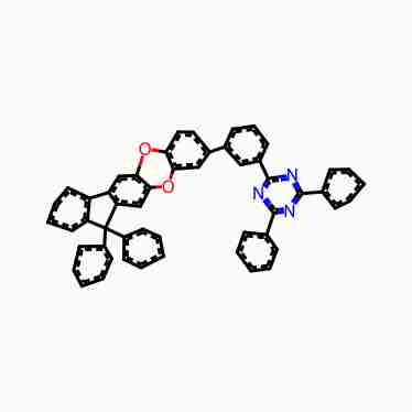 c1ccc(-c2nc(-c3ccccc3)nc(-c3cccc(-c4ccc5c(c4)Oc4cc6c(cc4O5)-c4ccccc4C6(c4ccccc4)c4ccccc4)c3)n2)cc1